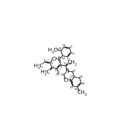 C=C(/C(C)=C\C)/C(F)=C(\CC1C=CC=CC1C)C(=C)N(CC)CC1C=CC(C)=CC1